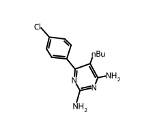 CCCCc1c(N)nc(N)nc1-c1ccc(Cl)cc1